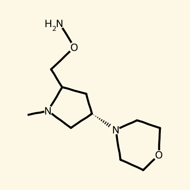 CN1C[C@@H](N2CCOCC2)CC1CON